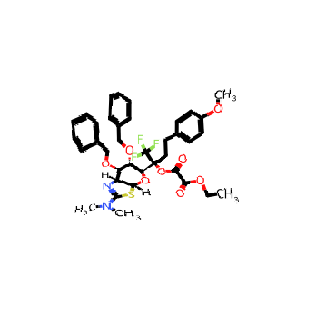 CCOC(=O)C(=O)OC(CCc1ccc(OC)cc1)([C@H]1O[C@@H]2SC(N(C)C)=N[C@@H]2[C@@H](OCc2ccccc2)[C@@H]1OCc1ccccc1)C(F)(F)F